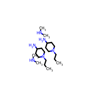 CCCN1CCC(N)CC1.CCCN1CCC(N)CC1.CNC.CNC